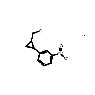 O=[N+]([O-])c1cccc(C2CC2CCl)c1